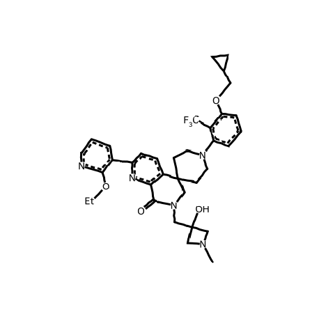 CCOc1ncccc1-c1ccc2c(n1)C(=O)N(CC1(O)CN(C)C1)CC21CCN(c2cccc(OCC3CC3)c2C(F)(F)F)CC1